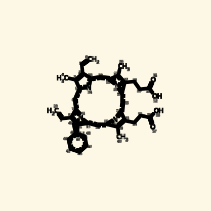 C=CC1=C(C)c2cc3c(C=C)c(C)c(cc4nc(cc5[nH]c(cc1n2)c(C)c5CCC(=O)O)C(CCC(=O)O)=C4C)n3Cc1ccccc1